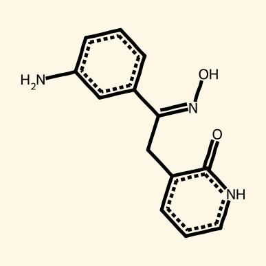 Nc1cccc(C(Cc2ccc[nH]c2=O)=NO)c1